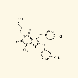 Cc1cccc(Oc2nc3c(c(=O)n(CCCO)c(=O)n3C)n2Cc2ccc(Cl)cc2)c1